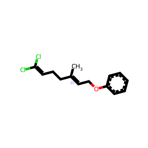 C/C(=C\COc1ccccc1)CCC=C(Cl)Cl